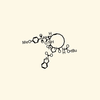 COc1ccc(S(=O)(=O)NC(=O)[C@@]23C[C@H]2/C=C\CCCCC[C@H](NC(=O)OC(C)(C)C)C(=O)N2C[C@H](OC(=O)N4Cc5ccccc5C4)C[C@H]2C(=O)N3)cc1